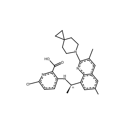 Cc1cc([C@@H](C)Nc2ccc(Cl)nc2C(=O)O)c2nc(N3CCC4(CC3)CC4)c(C)cc2c1